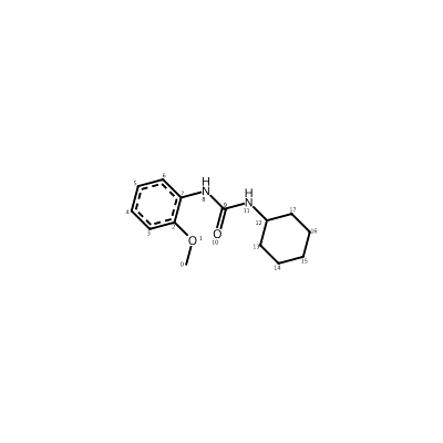 COc1ccccc1NC(=O)NC1CCCCC1